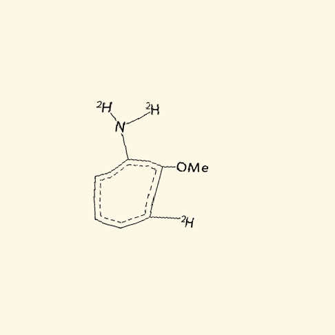 [2H]c1cccc(N([2H])[2H])c1OC